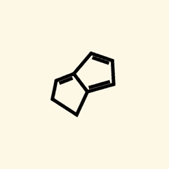 C1=CC2=CCCC2=C1